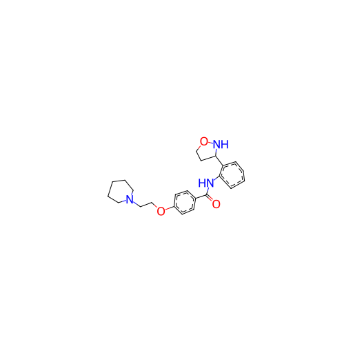 O=C(Nc1ccccc1C1CCON1)c1ccc(OCCN2CCCCC2)cc1